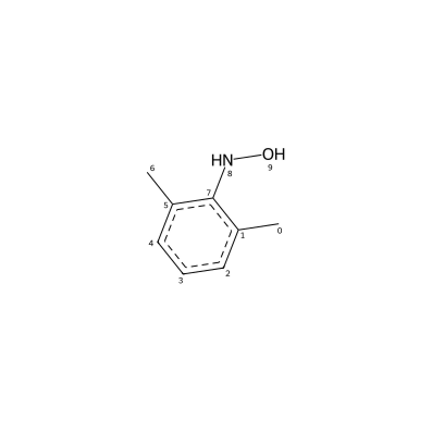 Cc1cccc(C)c1NO